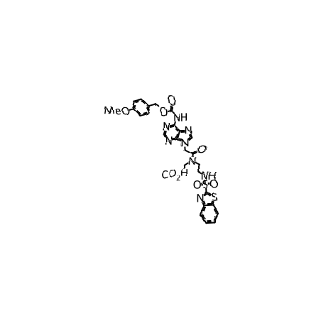 COc1ccc(COC(=O)Nc2ncnc3c2ncn3CC(=O)N(CCNS(=O)(=O)c2nc3ccccc3s2)CC(=O)O)cc1